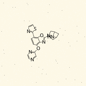 c1cnc(Oc2ccc(-c3nccs3)c3oc(N4CC5CC(C4)N5)nc23)cn1